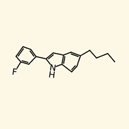 CCCCc1ccc2[nH]c(-c3cccc(F)c3)cc2c1